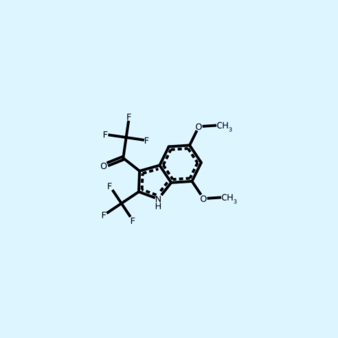 COc1cc(OC)c2[nH]c(C(F)(F)F)c(C(=O)C(F)(F)F)c2c1